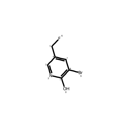 Oc1ncc(CF)cc1Br